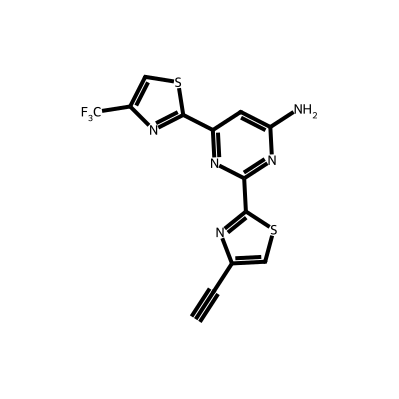 C#Cc1csc(-c2nc(N)cc(-c3nc(C(F)(F)F)cs3)n2)n1